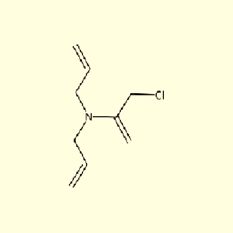 C=CCN(CC=C)C(=C)CCl